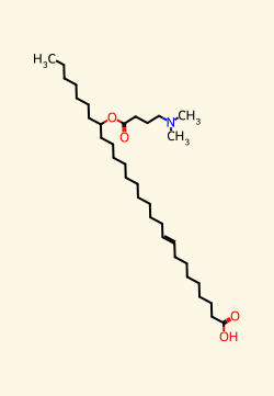 CCCCCCCC(CCCCCCCCCCC=CCCCCCCCC(=O)O)OC(=O)CCCN(C)C